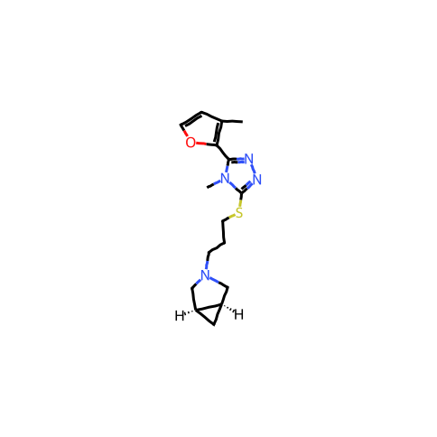 Cc1ccoc1-c1nnc(SCCCN2C[C@H]3C[C@H]3C2)n1C